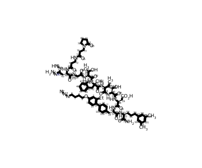 CCc1cc(OCCCCN=[N+]=[N-])ccc1-c1ccc(C[C@H](NC(=O)[C@H](CC(=O)O)NC(=O)[C@H](CO)NC(=O)[C@@H](NC(=O)[C@](C)(Cc2ccccc2F)NC(=O)[C@@H](NC(=O)CNC(=O)[C@H](C/C(N=N)=N/N)NC(=O)CCNC(=O)CCN2CCCC2=O)[C@@H](C)O)C(C)O)C(=O)N[C@@H](CCCc2cc(C)cc(C)c2)C(N)=O)cc1